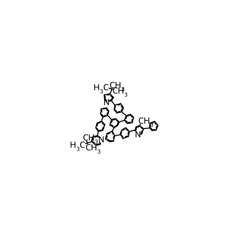 Cc1cc(-c2ccc(-c3ccccc3-c3cc(-c4ccccc4-c4ccc(-c5cc(C(C)(C)C)ccn5)cc4)cc(-c4ccccc4-c4ccc(-c5cc(C(C)(C)C)ccn5)cc4)c3)cc2)ncc1-c1ccccc1